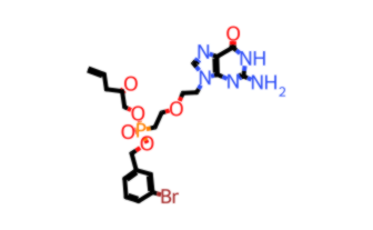 C=CCC(=O)COP(=O)(CCOCCn1cnc2c(=O)[nH]c(N)nc21)OCc1cccc(Br)c1